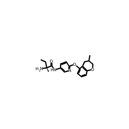 CC[C@@](C)(N)C(=O)Nc1ccc(Oc2cccc3c2CC(C)CO3)nc1